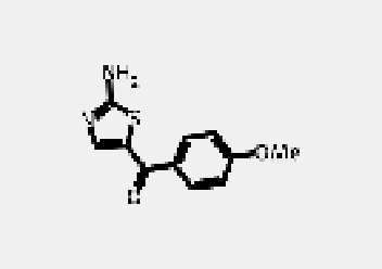 COc1ccc(C(=O)c2cnc(N)s2)cc1